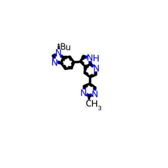 Cc1ncc(-c2cnc3[nH]cc(-c4ccc5ncn(C(C)(C)C)c5c4)c3c2)cn1